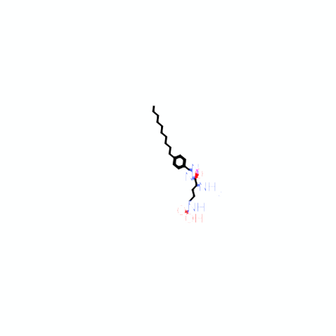 CCCCCCCCCCc1ccc(-c2noc(C(N)CCCNC(=O)O)n2)cc1